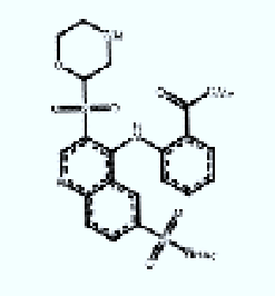 COC(=O)c1ccccc1Nc1c(S(=O)(=O)C2CNCCO2)cnc2ccc(S(=O)(=O)NC(C)=O)cc12